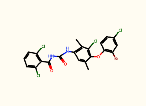 Cc1cc(NC(=O)NC(=O)c2c(Cl)cccc2Cl)c(C)c(Cl)c1Oc1ccc(Cl)cc1Br